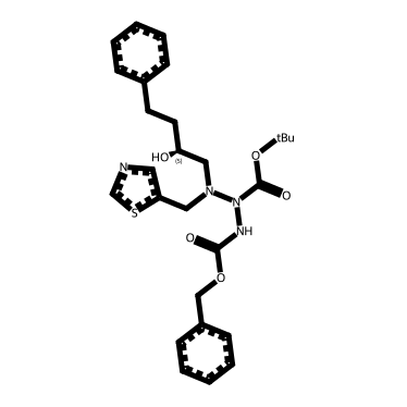 CC(C)(C)OC(=O)N(NC(=O)OCc1ccccc1)N(Cc1cncs1)C[C@@H](O)CCc1ccccc1